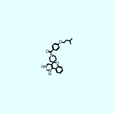 CNC1=C(C=N)C2(CCN(C(=O)c3ccc(OCCC(C)C)cc3)CC2)Oc2ccccc21